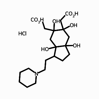 Cl.O=C(O)CC1(O)CC2(O)CCC(CCN3CCCCC3)C2(O)CC1(O)CC(=O)O